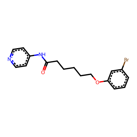 O=C(CCCCCOc1cccc(Br)c1)Nc1ccncc1